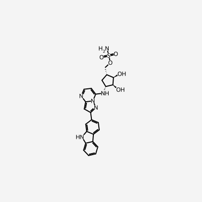 NS(=O)(=O)OC[C@H]1C[C@@H](Nc2ccnc3cc(-c4ccc5c(c4)[nH]c4ccccc45)nn23)[C@H](O)[C@@H]1O